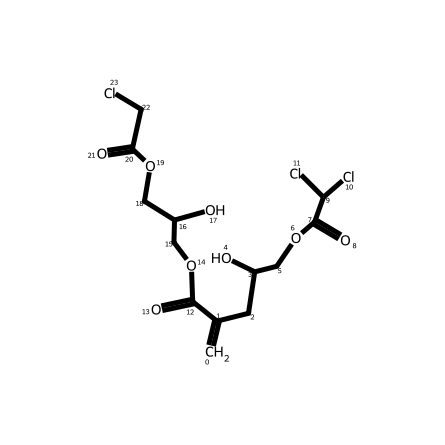 C=C(CC(O)COC(=O)C(Cl)Cl)C(=O)OCC(O)COC(=O)CCl